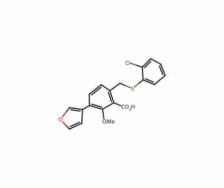 COc1c(-c2ccoc2)ccc(CSc2ccccc2Cl)c1C(=O)O